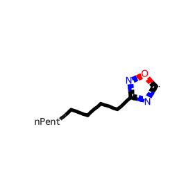 CCCCCCCCCc1n[c]on1